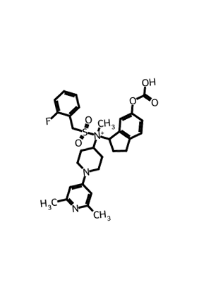 Cc1cc(N2CCC([N+](C)(C3CCc4ccc(OC(=O)O)cc43)S(=O)(=O)Cc3ccccc3F)CC2)cc(C)n1